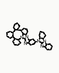 c1ccc2c(c1)nc1n(-c3ccc4nc5n(c4c3)c3cccc4c6ccccc6c6ccccc6c6ccccc6n5c43)c3ccccc3n21